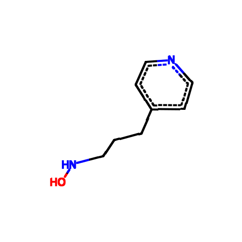 ONCCCc1ccncc1